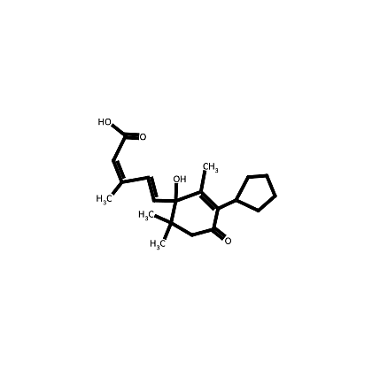 CC1=C(C2CCCC2)C(=O)CC(C)(C)C1(O)/C=C/C(C)=C\C(=O)O